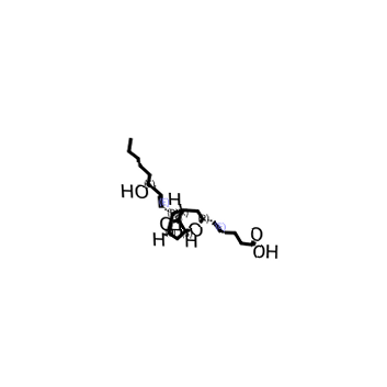 CCCCC[C@H](O)/C=C/[C@@H]1[C@H]2C[C@H](/C=C/CCC(=O)O)O[C@H]3C[C@@H]1O[C@@H]23